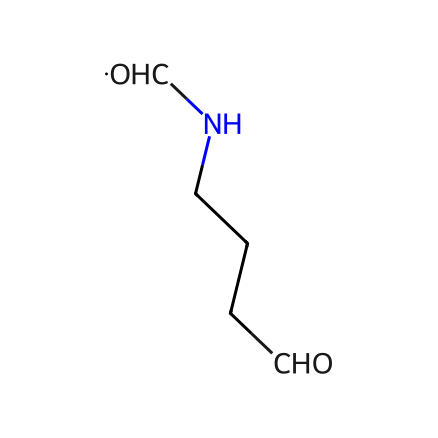 O=[C]NCCCC=O